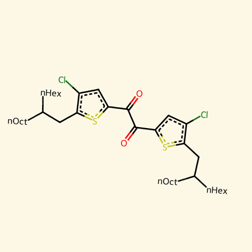 CCCCCCCCC(CCCCCC)Cc1sc(C(=O)C(=O)c2cc(Cl)c(CC(CCCCCC)CCCCCCCC)s2)cc1Cl